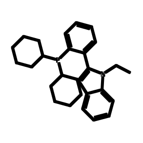 CCn1c(-c2ccccc2P(C2CCCCC2)C2CCCCC2)cc2ccccc21